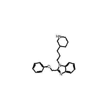 c1ccc(OCc2nc3ccccc3n2CCCC2CCCNC2)cc1